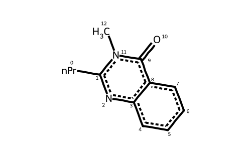 CCCc1nc2ccccc2c(=O)n1C